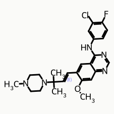 COc1cc2ncnc(Nc3ccc(F)c(Cl)c3)c2cc1/C=C/C(C)(C)N1CCN(C)CC1